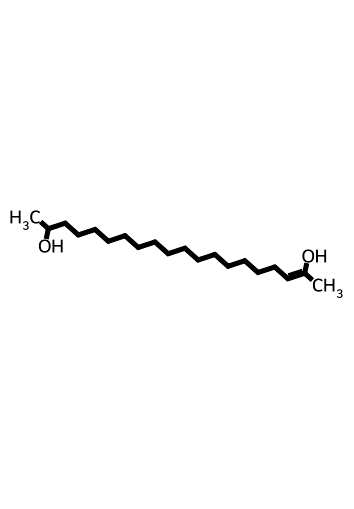 C/C(O)=C/CCCCCCCCCCCCCCCC(C)O